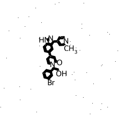 Cc1cc(-c2n[nH]c3ccc(-c4ccn(C(CO)c5cccc(Br)c5)c(=O)c4)cc23)ccn1